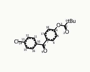 CC(C)(C)C(=O)Oc1ccc(C(=O)c2ccc(Cl)cc2)cc1